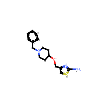 Nc1nc(COC2CCN(Cc3ccccc3)CC2)cs1